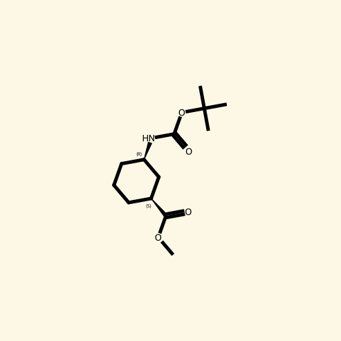 COC(=O)[C@H]1CCC[C@@H](NC(=O)OC(C)(C)C)C1